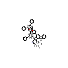 C=C/C=C\c1c(C)c2c3oc4ccccc4c3cc(-c3ccc(-c4nc(-c5ccccc5)nc(-c5ccccc5)n4)cc3)c2n1-c1nc(-c2ccccc2)nc(-c2ccccc2)n1